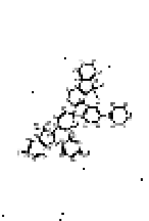 CC1(C)C2=C(CCC(C3(c4ccc(N5CCOCC5)cc4)C=Cc4c5c(c6ccc(F)cc6c4O3)-c3ccc(F)cc3C5(C)C)=C2)c2ccccc21